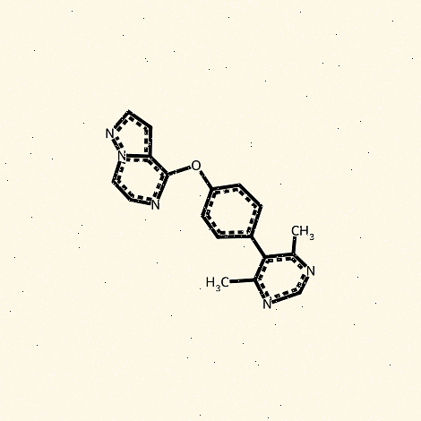 Cc1ncnc(C)c1-c1ccc(Oc2nccn3nccc23)cc1